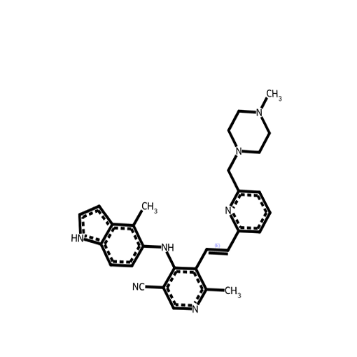 Cc1ncc(C#N)c(Nc2ccc3[nH]ccc3c2C)c1/C=C/c1cccc(CN2CCN(C)CC2)n1